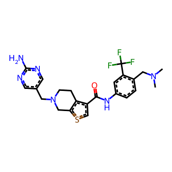 CN(C)Cc1ccc(NC(=O)c2csc3c2CCN(Cc2cnc(N)nc2)C3)cc1C(F)(F)F